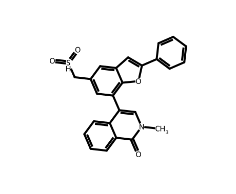 Cn1cc(-c2cc(C[SH](=O)=O)cc3cc(-c4ccccc4)oc23)c2ccccc2c1=O